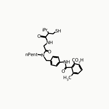 CCCCCN(Cc1ccc(NC(=O)c2c(C)cccc2C(=O)O)cc1)C(=O)CNC(=O)C(CS)C(C)C